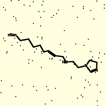 CCCCCCCCCCCCCCC=CCNCCN1C=NCC1